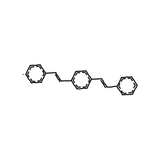 [c]1ccc(C=Cc2ccc(C=Cc3ccccc3)cc2)cc1